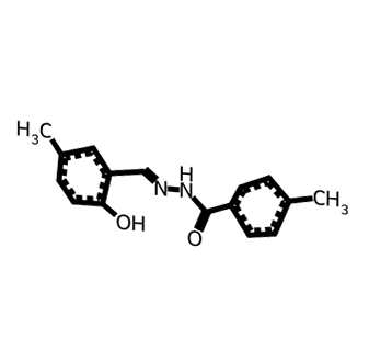 Cc1ccc(C(=O)N/N=C/c2cc(C)ccc2O)cc1